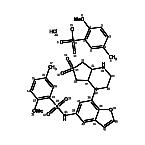 COc1ccc(C)cc1S(=O)(=O)Cl.COc1ccc(C)cc1S(=O)(=O)Nc1cc(N2CCNC3CS(=O)(=O)CC32)c2occc2c1.Cl